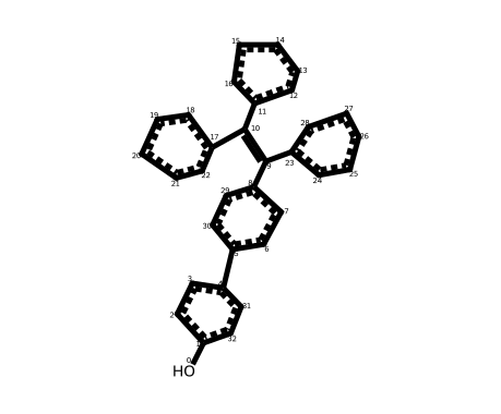 Oc1ccc(-c2ccc(C(=C(c3ccccc3)c3ccccc3)c3ccccc3)cc2)cc1